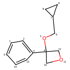 [c]1ccc(C2(OCC3CC3)COC2)cc1